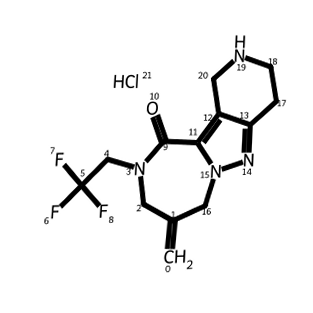 C=C1CN(CC(F)(F)F)C(=O)c2c3c(nn2C1)CCNC3.Cl